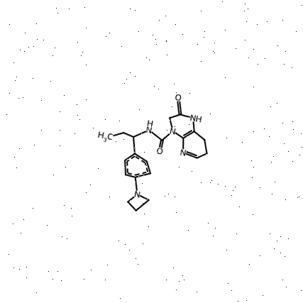 CCC(NC(=O)N1CC(=O)NC2=C1N=CCC2)c1ccc(N2CCC2)cc1